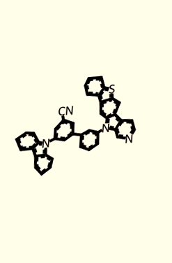 N#Cc1cc(-c2cccc(-n3c4cnccc4c4cc5sc6ccccc6c5cc43)c2)cc(-n2c3ccccc3c3ccccc32)c1